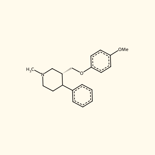 COc1ccc(OC[C@H]2CN(C)CCC2c2ccccc2)cc1